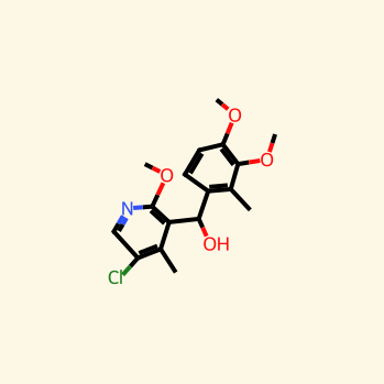 COc1ccc(C(O)c2c(OC)ncc(Cl)c2C)c(C)c1OC